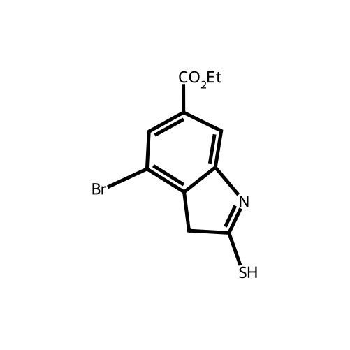 CCOC(=O)c1cc(Br)c2c(c1)N=C(S)C2